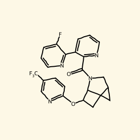 O=C(c1ncccc1-c1ncccc1F)N1CC2CC23CC(Oc2ccc(C(F)(F)F)cn2)C13